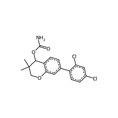 CC1(C)COc2cc(-c3ccc(Cl)cc3Cl)ccc2C1OC(N)=O